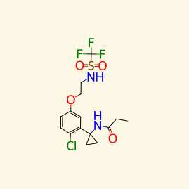 CCC(=O)NC1(c2cc(OCCNS(=O)(=O)C(F)(F)F)ccc2Cl)CC1